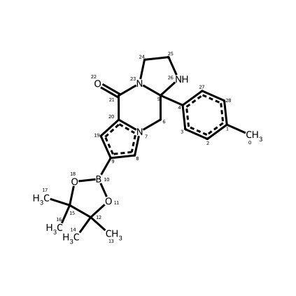 Cc1ccc(C23Cn4cc(B5OC(C)(C)C(C)(C)O5)cc4C(=O)N2CCN3)cc1